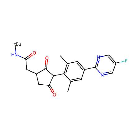 Cc1cc(-c2ncc(F)cn2)cc(C)c1C1C(=O)CC(CC(=O)NC(C)(C)C)C1=O